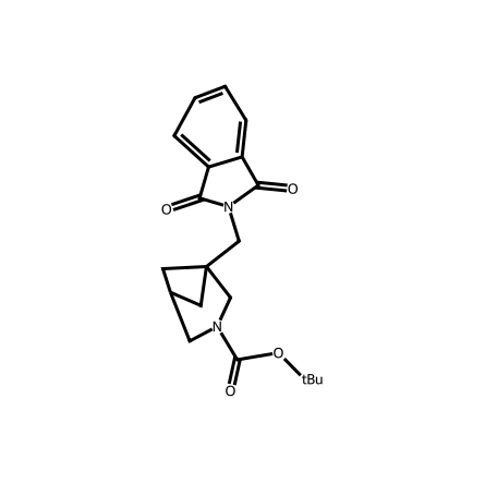 CC(C)(C)OC(=O)N1CC2CC(CN3C(=O)c4ccccc4C3=O)(C2)C1